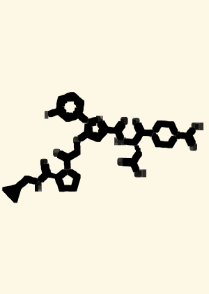 O=C(O)C[C@H](NC(=O)c1cc(OCC(=O)N2CCC[C@H]2C(=O)NCC2CC2)n(-c2cccc(F)c2)n1)C(=O)N1CCN(C(=O)O)CC1